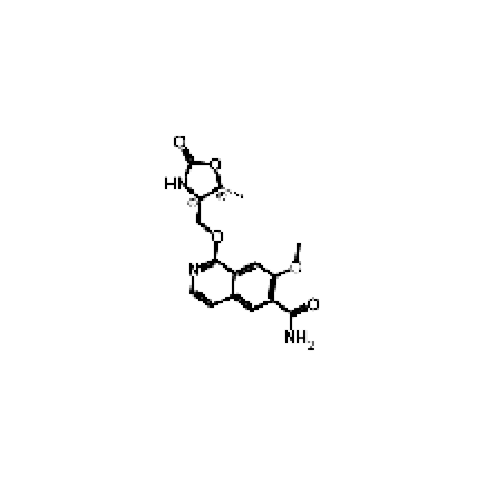 COc1cc2c(OC[C@H]3NC(=O)O[C@@H]3C)nccc2cc1C(N)=O